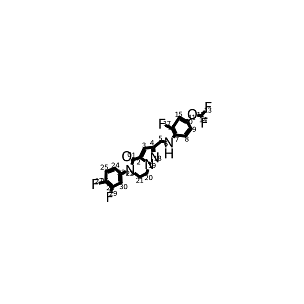 O=C1c2cc(CNc3ccc(OC(F)F)cc3F)nn2CCN1c1ccc(F)c(F)c1